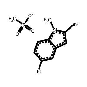 CCc1ccc2c(c1)cc(C(C)C)[s+]2C(F)(F)F.O=S(=O)([O-])C(F)(F)F